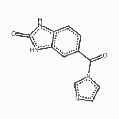 O=C(c1ccc2[nH]c(=O)[nH]c2c1)n1ccnc1